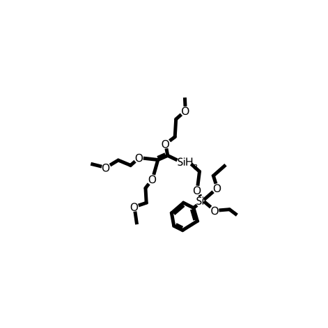 CCO[Si](OCC)(OCC)c1ccccc1.COCCOC([SiH3])=C(OCCOC)OCCOC